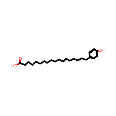 O=C(O)CCCCCCCCCCCCCCCCCc1ccc(O)cc1